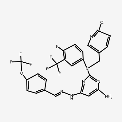 Nc1cc(NN=Cc2ccc(OC(F)(F)F)cc2)nc(N(Cc2ccc(Cl)nc2)c2ccc(F)c(C(F)(F)F)c2)n1